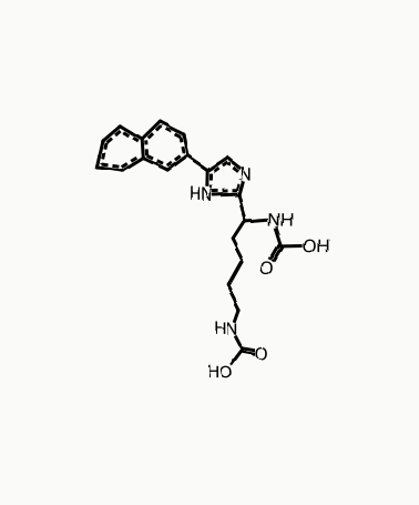 O=C(O)NCCCCC(NC(=O)O)c1ncc(-c2ccc3ccccc3c2)[nH]1